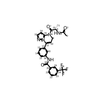 CC(=O)N[C@@H](C)C(=O)N1CC=C(c2cccc(NC(=O)c3cccc(C(F)(F)F)c3)c2)n2nccc21